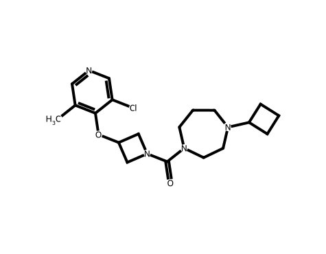 Cc1cncc(Cl)c1OC1CN(C(=O)N2CCCN(C3CCC3)CC2)C1